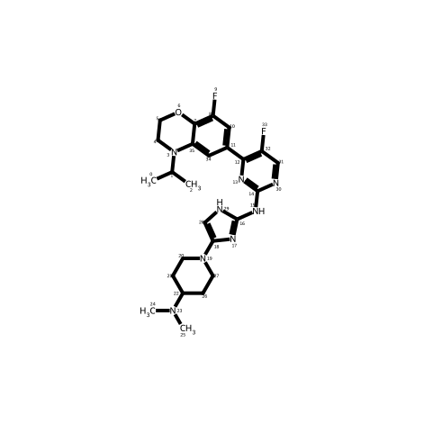 CC(C)N1CCOc2c(F)cc(-c3nc(Nc4nc(N5CCC(N(C)C)CC5)c[nH]4)ncc3F)cc21